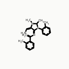 C=C(/N=C1\C(=C/N)N(C)C(C)N1c1ccccc1C)c1ccccc1C